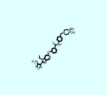 CCn1c(-c2nonc2N)nc2cnc(Oc3cccc(C(=O)Nc4ccc(CN5CCS(O)(O)CC5)cc4)c3)cc21